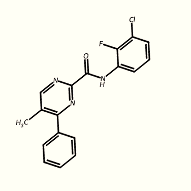 Cc1cnc(C(=O)Nc2cccc(Cl)c2F)nc1-c1ccccc1